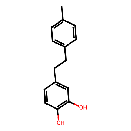 Cc1ccc(CCc2ccc(O)c(O)c2)cc1